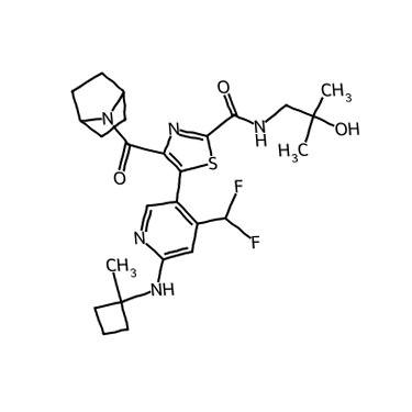 CC(C)(O)CNC(=O)c1nc(C(=O)N2C3CCC2CC3)c(-c2cnc(NC3(C)CCC3)cc2C(F)F)s1